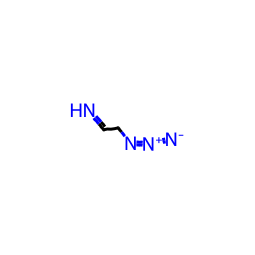 [N-]=[N+]=NCC=N